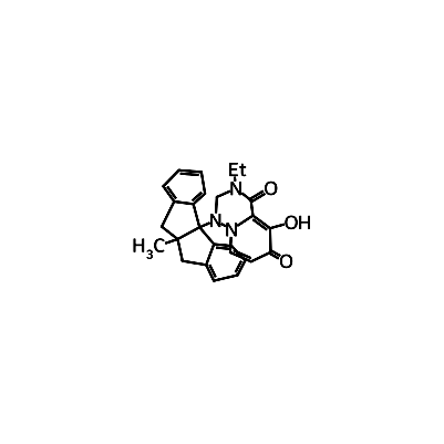 CCN1CN(C23c4ccccc4CC2(C)Cc2ccccc23)n2ccc(=O)c(O)c2C1=O